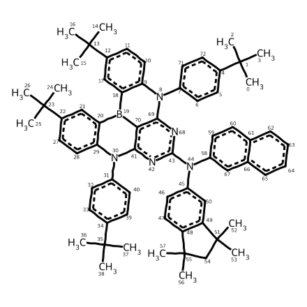 CC(C)(C)c1ccc(N2c3ccc(C(C)(C)C)cc3B3c4cc(C(C)(C)C)ccc4N(c4ccc(C(C)(C)C)cc4)c4nc(N(c5ccc6c(c5)C(C)(C)CC6(C)C)c5ccc6ccccc6c5)nc2c43)cc1